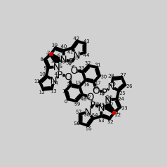 c1cc(Op2n3cccc3c3cccn32)c(-c2c(Op3n4cccc4c4cccn43)cccc2Op2n3cccc3c3cccn32)c(Op2n3cccc3c3cccn32)c1